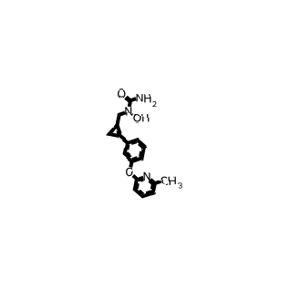 Cc1cccc(Oc2cccc(C3CC3CN(O)C(N)=O)c2)n1